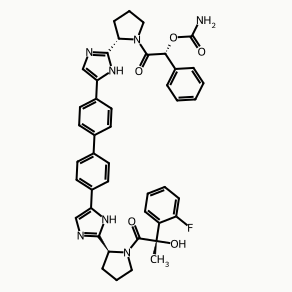 C[C@@](O)(C(=O)N1CCC[C@H]1c1ncc(-c2ccc(-c3ccc(-c4cnc([C@@H]5CCCN5C(=O)[C@H](OC(N)=O)c5ccccc5)[nH]4)cc3)cc2)[nH]1)c1ccccc1F